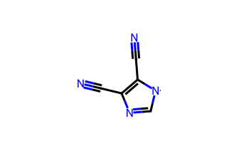 N#CC1=C(C#N)N=C[N]1